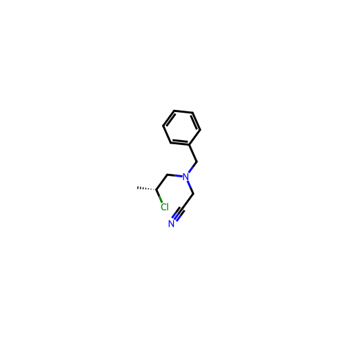 C[C@@H](Cl)CN(CC#N)Cc1ccccc1